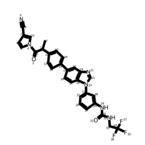 CC(C(=O)n1ccc(C#N)c1)c1ccc(-c2ccc3c(c2)ncn3-c2cccc(NC(=O)NCC(F)(F)F)c2)cc1